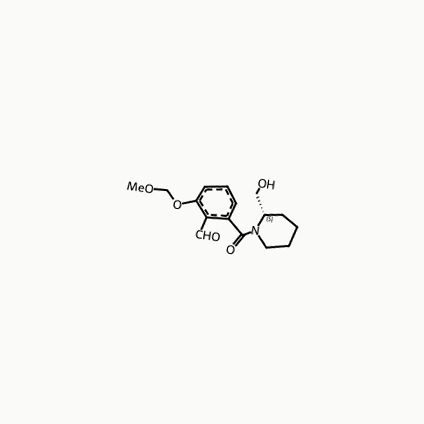 COCOc1cccc(C(=O)N2CCCC[C@H]2CO)c1C=O